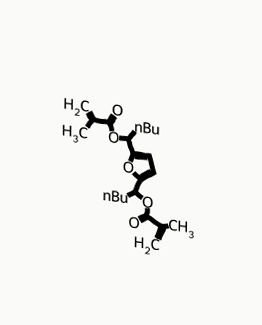 C=C(C)C(=O)OC(CCCC)c1ccc(C(CCCC)OC(=O)C(=C)C)o1